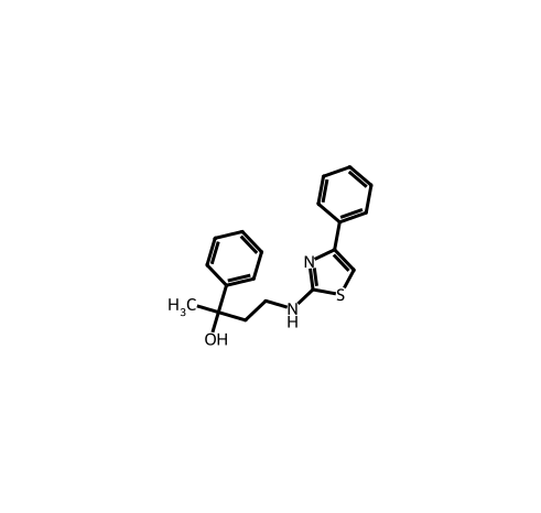 CC(O)(CCNc1nc(-c2ccccc2)cs1)c1ccccc1